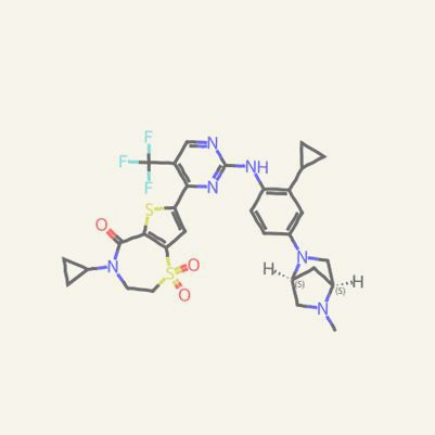 CN1C[C@@H]2C[C@H]1CN2c1ccc(Nc2ncc(C(F)(F)F)c(-c3cc4c(s3)C(=O)N(C3CC3)CCS4(=O)=O)n2)c(C2CC2)c1